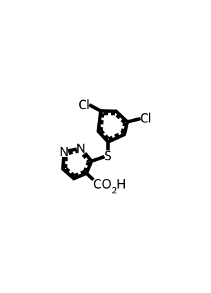 O=C(O)c1ccnnc1Sc1cc(Cl)cc(Cl)c1